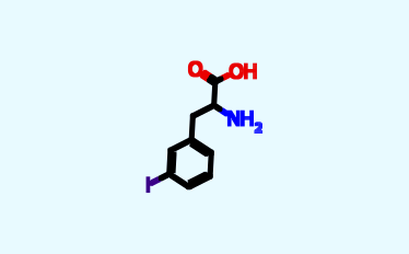 NC(Cc1cccc(I)c1)C(=O)O